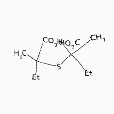 CCC(C)(SC(C)(CC)C(=O)O)C(=O)O